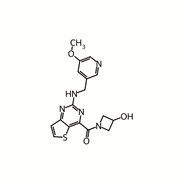 COc1cncc(CNc2nc(C(=O)N3CC(O)C3)c3sccc3n2)c1